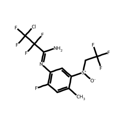 Cc1cc(F)c(/N=C(\N)C(F)(F)C(F)(F)Cl)cc1[S+]([O-])CC(F)(F)F